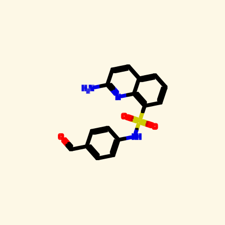 Nc1ccc2cccc(S(=O)(=O)Nc3ccc(C=O)cc3)c2n1